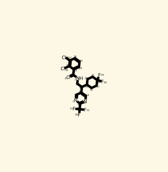 O=C(NCC(c1cnc(C(F)(F)F)nc1)C1CCC(F)(F)CC1)c1cccc(Cl)c1Cl